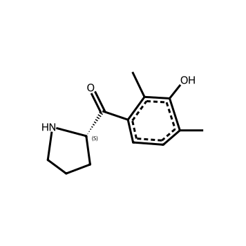 Cc1ccc(C(=O)[C@@H]2CCCN2)c(C)c1O